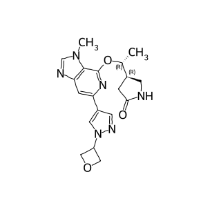 C[C@@H](Oc1nc(-c2cnn(C3COC3)c2)cc2ncn(C)c12)[C@H]1CNC(=O)C1